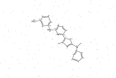 Cc1nc(N(C)c2ccccc2)sc1-c1ccnc(Nc2cccc(O)c2)n1